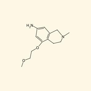 COCCOc1cc(N)cc2c1CCN(C)C2